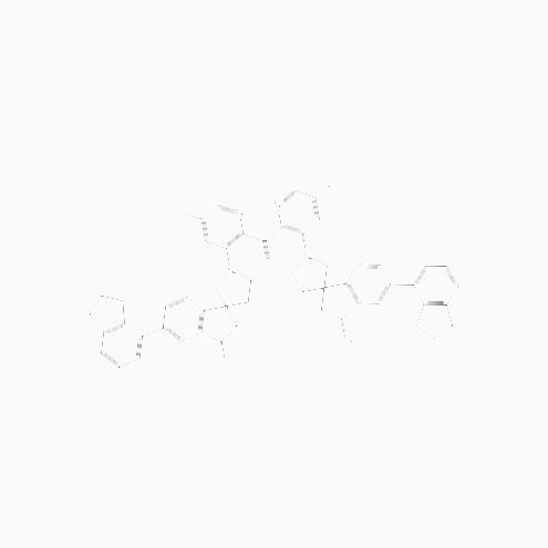 O=C(c1ncc(F)cc1N1CCC2(CC(O)c3cc(-c4cccc5c4CCC5)ccc32)C1)c1ncc(F)cc1N1CCC2(CC(O)c3cc(-c4cccc5c4CCC5)ccc32)C1